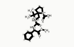 COC(=O)[C@H](NC(=S)NCC1(C(C)(C)C)CCCN1C(=O)O)c1ccccc1